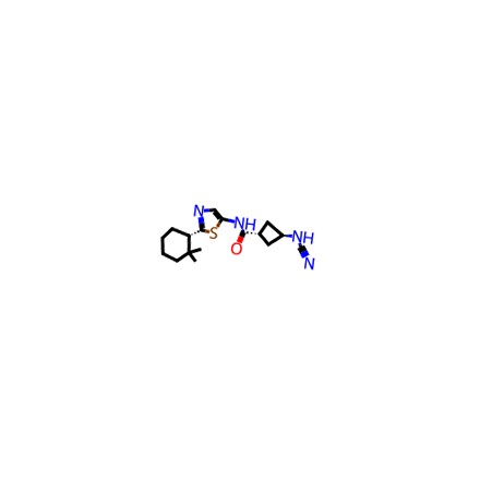 CC1(C)CCCC[C@@H]1c1ncc(NC(=O)[C@H]2C[C@H](NC#N)C2)s1